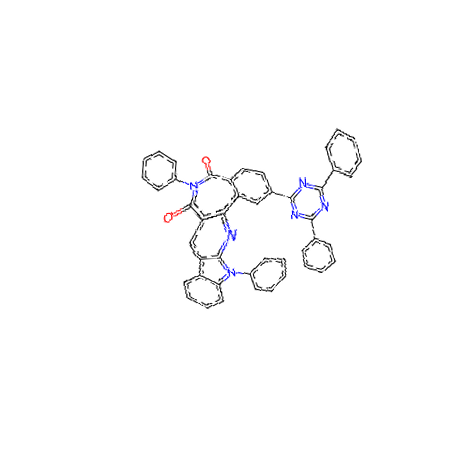 O=c1c2ccc(-c3nc(-c4ccccc4)nc(-c4ccccc4)n3)cc2c2nc3c(cc2c(=O)n1-c1ccccc1)c1ccccc1n3-c1ccccc1